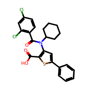 O=C(O)c1sc(-c2ccccc2)cc1N(C(=O)c1ccc(Cl)cc1Cl)C1CCCCC1